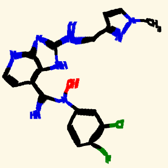 Cn1ccc(CNc2nc3nccc(C(=N)N(O)c4ccc(F)c(Cl)c4)c3[nH]2)n1